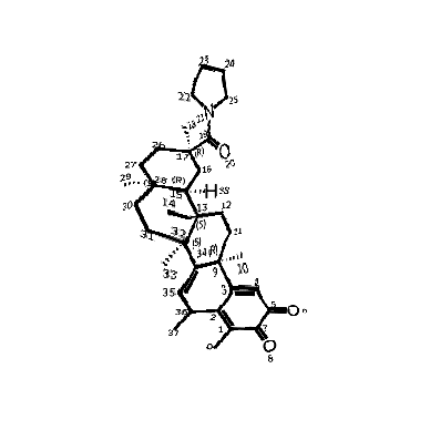 CC1=C2C(=CC(=O)C1=O)[C@]1(C)CC[C@@]3(C)[C@@H]4C[C@](C)(C(=O)N5CCCC5)CC[C@]4(C)CC[C@]3(C)C1=CC2C